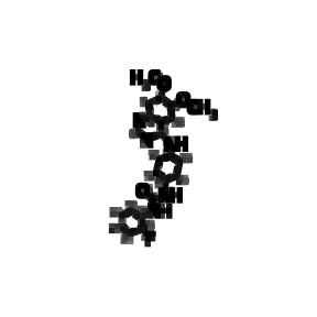 COc1cc2ncnc(Nc3ccc(NC(=O)Nc4ccccc4F)cc3)c2cc1OC